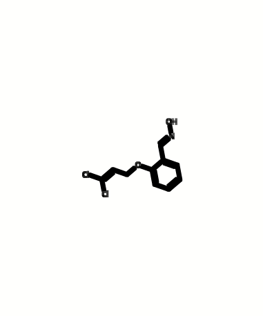 ON=Cc1ccccc1OCC=C(Cl)Cl